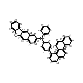 c1ccc(N(c2ccc(-c3cccc4ccc5c6ccccc6ccc5c34)cc2)c2ccc3cc4oc5ccccc5c4cc3c2)cc1